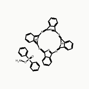 O=P([O][AlH2])(c1ccccc1)c1ccccc1.c1ccc2c(c1)-c1nc-2nc2[nH]c(nc3nc(nc4[nH]c(n1)c1ccccc41)-c1ccccc1-3)c1ccccc21